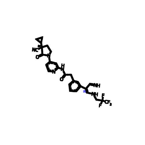 N#C[C@@]1(C2CC2)CCN(c2ccnc(NC(=O)Cc3cccc(/C(C=N)=C/NCC(F)(F)C(F)(F)F)c3)c2)C1=O